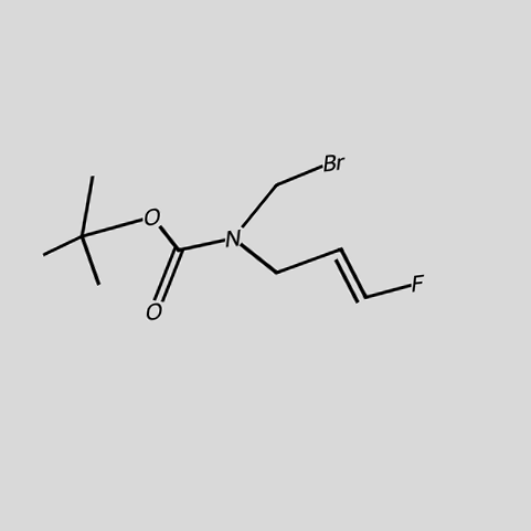 CC(C)(C)OC(=O)N(CBr)CC=CF